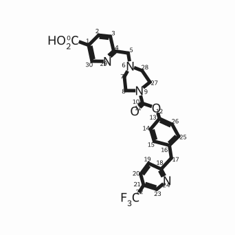 O=C(O)c1ccc(CN2CCN(C(=O)Oc3ccc(Cc4ccc(C(F)(F)F)cn4)cc3)CC2)nc1